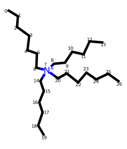 CCCCCCC[N+](CCCCCC)(CCCCCC)CCCCCCC